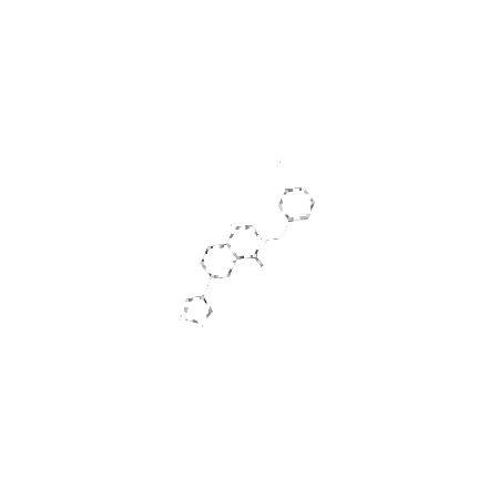 COc1cccc(Cn2cnc3ccc(-c4cn[nH]c4)cc3c2=O)c1